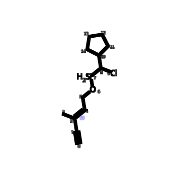 C#C/C(C)=C/CO[SiH2]C(Cl)C1CCCC1